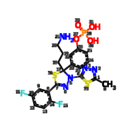 Cc1nnc(N2N=C(c3cc(F)ccc3F)SC2(CCCN)c2cccc(OP(=O)(O)O)c2)s1